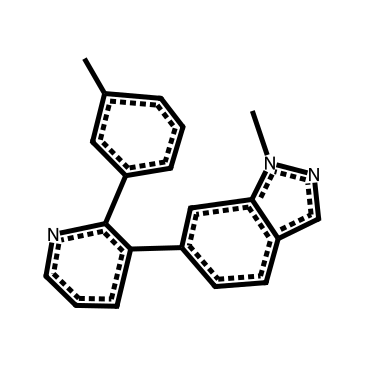 Cc1cccc(-c2ncccc2-c2ccc3cnn(C)c3c2)c1